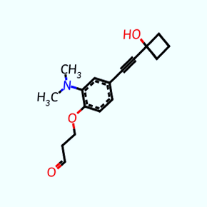 CN(C)c1cc(C#CC2(O)CCC2)ccc1OCCC=O